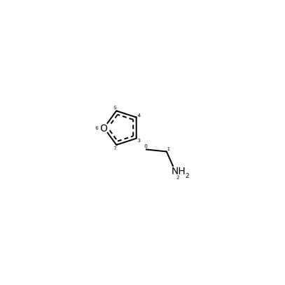 CCN.c1ccoc1